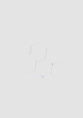 Cc1nn(C)c(=O)c2ccc(Br)cc12